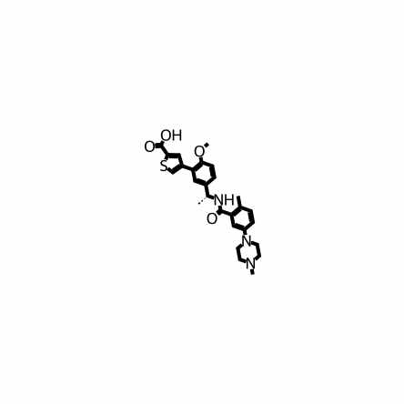 COc1ccc([C@@H](C)NC(=O)c2cc(N3CCN(C)CC3)ccc2C)cc1-c1csc(C(=O)O)c1